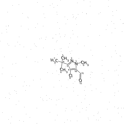 Cn1nc(C(C)(C)C)c(Cl)c1C=O